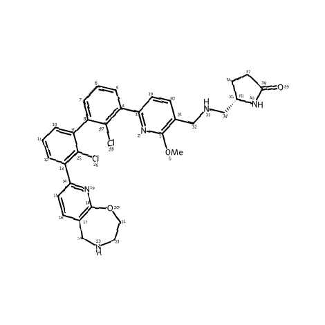 COc1nc(-c2cccc(-c3cccc(-c4ccc5c(n4)OCCNC5)c3Cl)c2Cl)ccc1CNC[C@@H]1CCC(=O)N1